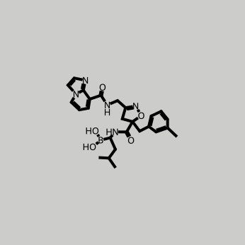 Cc1cccc(CC2(C(=O)NC(CC(C)C)B(O)O)CC(CNC(=O)c3cccn4ccnc34)=NO2)c1